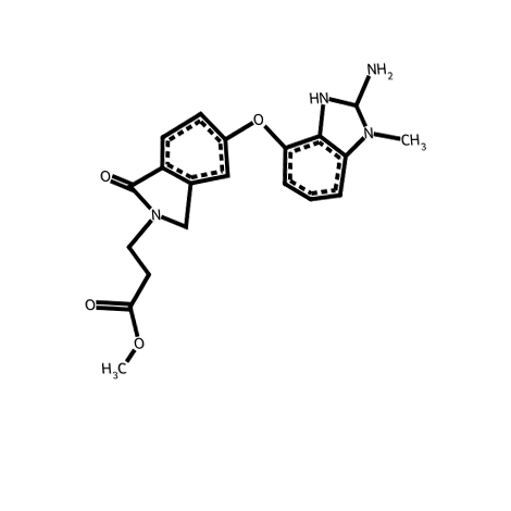 COC(=O)CCN1Cc2cc(Oc3cccc4c3NC(N)N4C)ccc2C1=O